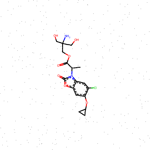 CC(C(=O)OCC(N)(CO)CO)n1c(=O)oc2cc(OC3CC3)c(Cl)cc21